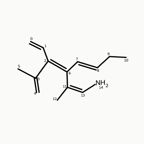 C=C/C(C(=C)C)=C(\C=C\CC)C(/C)=C\N